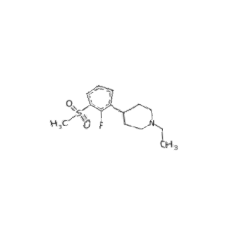 CCN1CCC(c2cccc(S(C)(=O)=O)c2F)CC1